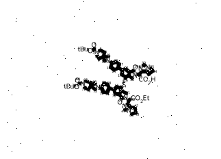 CC(C)(C)OC(=O)N1CCC2(CC1)CN(c1ccc(-c3cc(F)c4c(c3)C(=O)N(C(C(=O)O)c3ncn5c3CCC5)C4)cc1)C2.CCOC(=O)C(c1ncn2c1CCC2)N1Cc2c(F)cc(-c3ccc(N4CC5(CCN(C(=O)OC(C)(C)C)CC5)C4)cc3)cc2C1=O